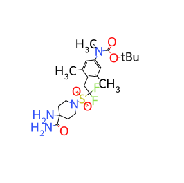 Cc1cc(N(C)C(=O)OC(C)(C)C)cc(C)c1CC(F)(F)S(=O)(=O)N1CCC(N)(C(N)=O)CC1